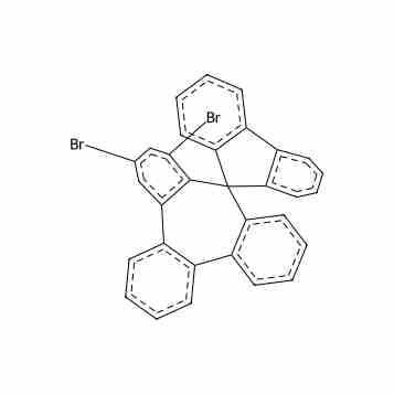 Brc1cc(Br)c2c(c1)-c1ccccc1-c1ccccc1C21c2ccccc2-c2ccccc21